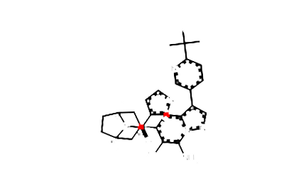 CC(=O)c1c([C@H]2C[C@H]3CC[C@@H](C2)N3C(=O)c2cc[nH]n2)nc2c(-c3ccc(C(C)(C)O)nc3)cnn2c1N